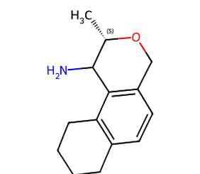 C[C@@H]1OCc2ccc3c(c2C1N)CCCC3